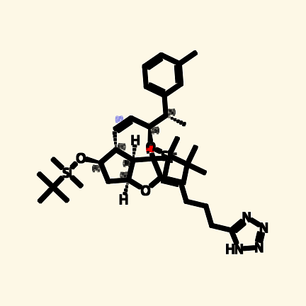 Cc1cccc([C@H](C)[C@H](/C=C\[C@@H]2[C@@H]3[C@H](C[C@H]2O[Si](C)(C)C(C)(C)C)OC(=CCCCc2nnn[nH]2)C3(F)F)O[Si](C)(C)C(C)(C)C)c1